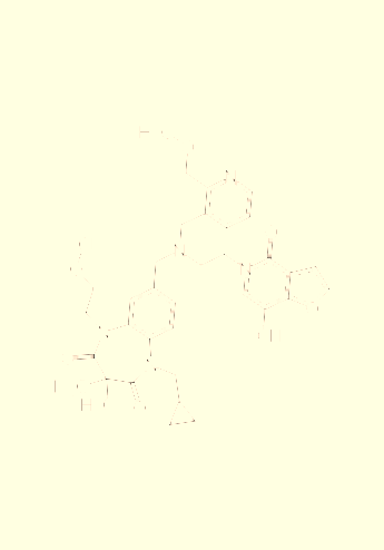 COCCN1C(=O)C(C)(C)C(=O)N(CC2CC2)c2ccc(CN(CCn3cc(C)c4occc4c3=O)Cc3cccnc3COC)cc21